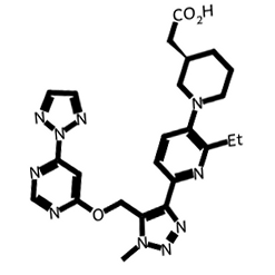 CCc1nc(-c2nnn(C)c2COc2cc(-n3nccn3)ncn2)ccc1N1CCC[C@H](CC(=O)O)C1